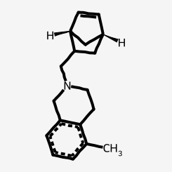 Cc1cccc2c1CCN(CC1C[C@H]3C=C[C@@H]1C3)C2